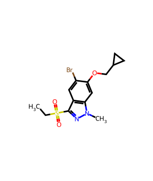 CCS(=O)(=O)c1nn(C)c2cc(OCC3CC3)c(Br)cc12